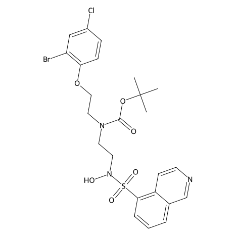 CC(C)(C)OC(=O)N(CCOc1ccc(Cl)cc1Br)CCN(O)S(=O)(=O)c1cccc2cnccc12